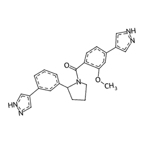 COc1cc(-c2cn[nH]c2)ccc1C(=O)N1CCCC1c1cccc(-c2cn[nH]c2)c1